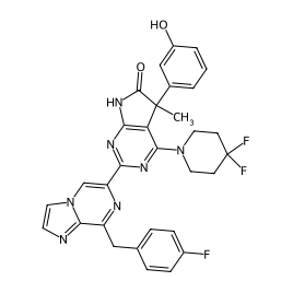 CC1(c2cccc(O)c2)C(=O)Nc2nc(-c3cn4ccnc4c(Cc4ccc(F)cc4)n3)nc(N3CCC(F)(F)CC3)c21